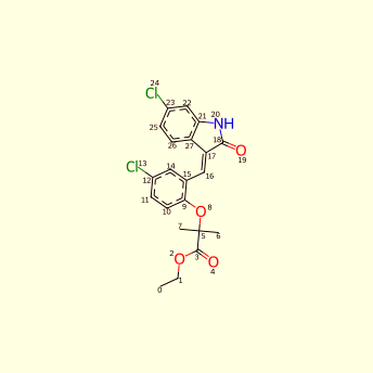 CCOC(=O)C(C)(C)Oc1ccc(Cl)cc1/C=C1/C(=O)Nc2cc(Cl)ccc21